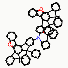 CC1(C)c2ccccc2-c2c1c1c(c3c2oc2ccccc23)-c2ccc(N(c3ccc4c(c3)C(c3ccccc3)(c3ccccc3)c3c5c(c6oc7ccccc7c6c3-4)-c3ccccc3C5(C)C)c3ccccc3-c3ccccc3)cc2C1(c1ccccc1)c1ccccc1